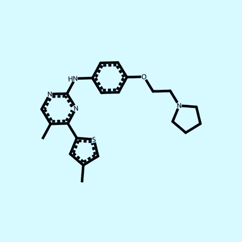 Cc1csc(-c2nc(Nc3ccc(OCCN4CCCC4)cc3)ncc2C)c1